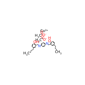 CC(=O)[O-].CC(=O)[O-].CCCCc1ccc(O)c(C=Nc2ccc(N=Cc3cc(CCCC)ccc3O)cc2)c1.[Co+2]